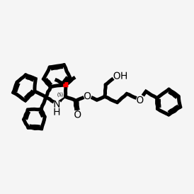 CC(C)[C@H](NC(c1ccccc1)(c1ccccc1)c1ccccc1)C(=O)OCC(CO)CCOCc1ccccc1